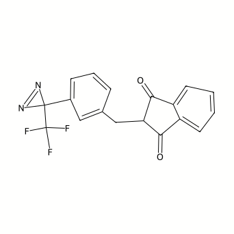 O=C1c2ccccc2C(=O)C1Cc1cccc(C2(C(F)(F)F)N=N2)c1